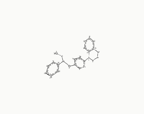 OCC(Oc1ccc(C2CCCc3ccccc32)cc1)c1ccccc1